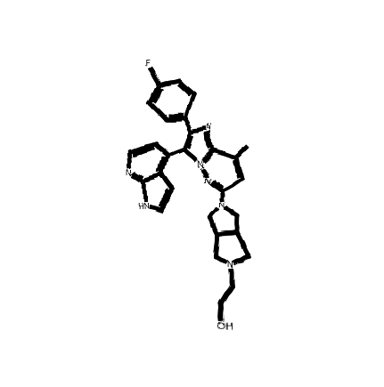 Cc1cc(N2CC3CN(CCO)CC3C2)nn2c(-c3ccnc4[nH]ccc34)c(-c3ccc(F)cc3)nc12